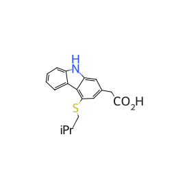 CC(C)CSc1cc(CC(=O)O)cc2[nH]c3ccccc3c12